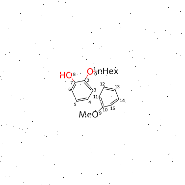 CCCCCCOc1ccccc1O.COc1ccccc1